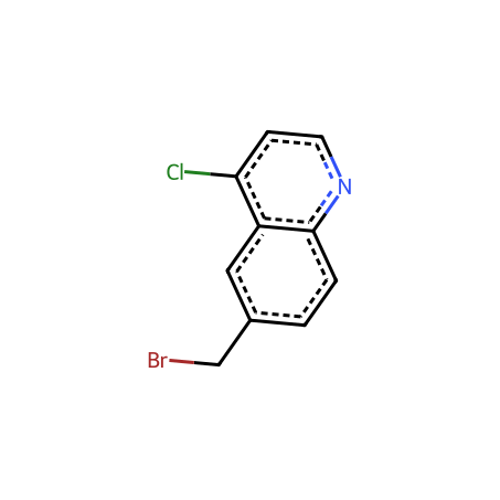 Clc1ccnc2ccc(CBr)cc12